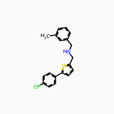 Cc1cccc(CNCc2ccc(-c3ccc(Cl)cc3)s2)c1